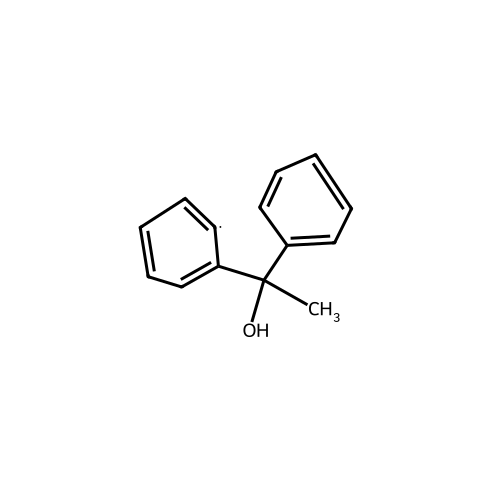 CC(O)(c1[c]cccc1)c1ccccc1